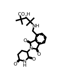 CC(C)(CC(C)(C)C(=O)O)NCc1cccc2c1C(=O)N(C1CCC(=O)NC1=O)C2=O